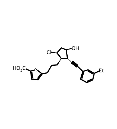 CCc1cccc(C#C[C@@H]2[C@@H](CCCc3ccc(C(=O)O)s3)[C@@H](Cl)C[C@H]2O)c1